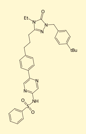 CCn1c(CCCc2ccc(-c3cnc(NS(=O)(=O)c4ccccc4)cn3)cc2)nn(Cc2ccc(C(C)(C)C)cc2)c1=O